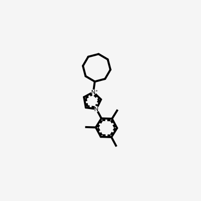 Cc1cc(C)c(-n2cc[n+](C3CCCCCCC3)c2)c(C)c1